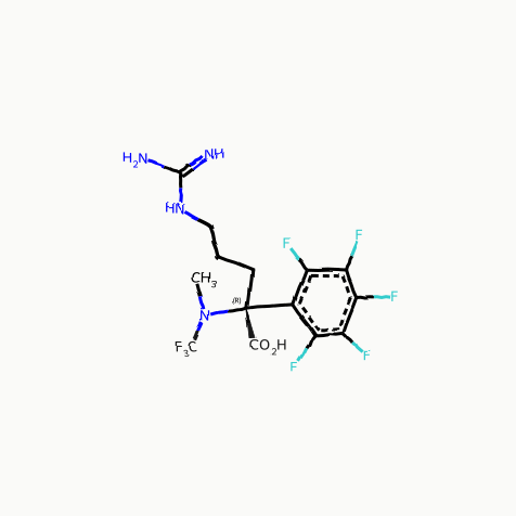 CN(C(F)(F)F)[C@@](CCCNC(=N)N)(C(=O)O)c1c(F)c(F)c(F)c(F)c1F